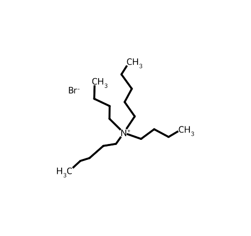 CCCCC[N+](CCCC)(CCCC)CCCCC.[Br-]